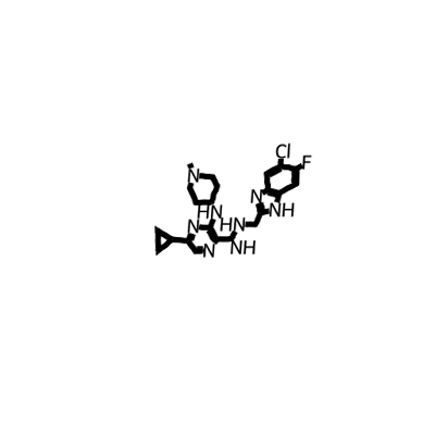 CN1CCC(Nc2nc(C3CC3)cnc2C(=N)NCc2nc3cc(Cl)c(F)cc3[nH]2)CC1